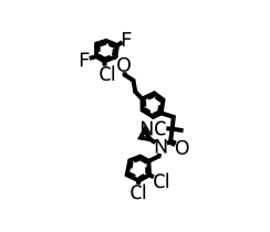 CC(C#N)(Cc1ccc(CCCOc2c(F)ccc(F)c2Cl)cc1)C(=O)N(Cc1cccc(Cl)c1Cl)C1CC1